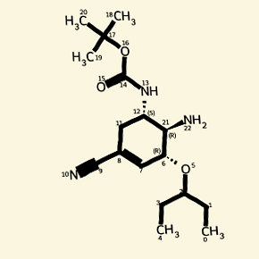 CCC(CC)O[C@@H]1C=C(C#N)C[C@H](NC(=O)OC(C)(C)C)[C@H]1N